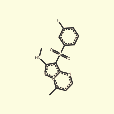 CNc1nn2c(C)ccnc2c1S(=O)(=O)c1cccc(F)c1